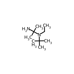 CCN(C(C)(C)C)C(C)(C)N